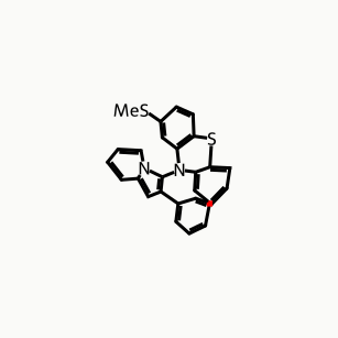 CSc1ccc2c(c1)N(c1c(-c3ccccc3)cc3ccccn13)c1ccccc1S2